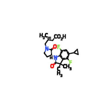 C[C@H](CC(=O)O)CN1CC[C@@H](N2C(=O)C(C)(C)c3c(F)c(C4CC4)cc(F)c32)C1=O